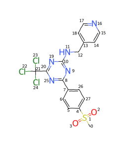 CS(=O)(=O)c1ccc(-c2nc(NCc3ccncc3)nc(C(Cl)(Cl)Cl)n2)cc1